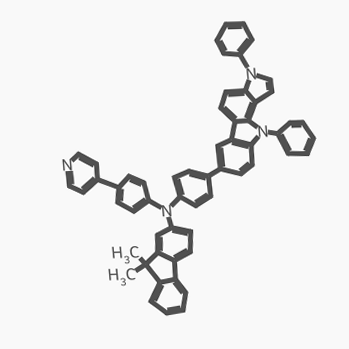 CC1(C)c2ccccc2-c2ccc(N(c3ccc(-c4ccncc4)cc3)c3ccc(-c4ccc5c(c4)c4ccc6c(ccn6-c6ccccc6)c4n5-c4ccccc4)cc3)cc21